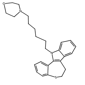 c1ccc2c(c1)SCCc1c-2n(CCCCCCN2CCOCC2)c2ccccc12